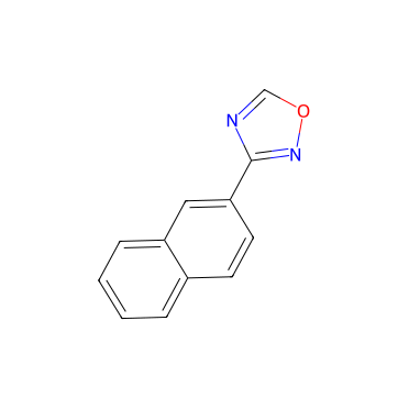 c1ccc2cc(-c3ncon3)ccc2c1